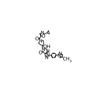 Cc1cnn(-c2ccc(-n3ncc4c(=O)n(CC5(O)CCN(C(=O)c6cnc(C7CC7)o6)CC5)cnc43)cc2)c1